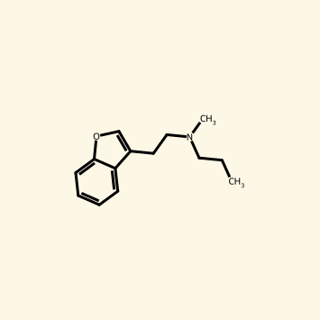 CCCN(C)CCc1coc2ccccc12